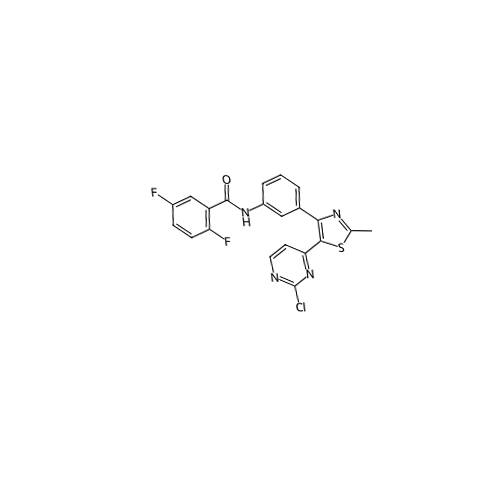 Cc1nc(-c2cccc(NC(=O)c3cc(F)ccc3F)c2)c(-c2ccnc(Cl)n2)s1